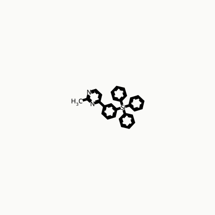 Cc1nccc(-c2cccc([Si](c3ccccc3)(c3ccccc3)c3ccccc3)c2)n1